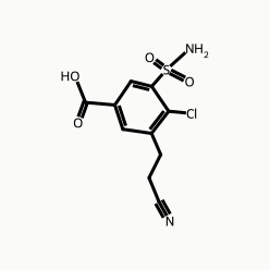 N#CCCc1cc(C(=O)O)cc(S(N)(=O)=O)c1Cl